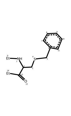 CCNC(CSCc1ccccc1)C(=O)CC